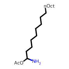 CCCCCCCCCCCCCCCCC(N)OC(C)=O